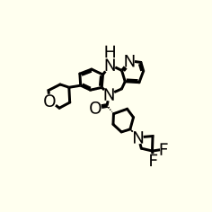 O=C([C@H]1CC[C@@H](N2CC(F)(F)C2)CC1)N1Cc2cccnc2Nc2ccc(C3CCOCC3)cc21